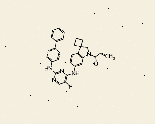 C=CC(=O)N1CC2(CCC2)c2ccc(Nc3nc(Nc4ccc(-c5ccccc5)cc4)ncc3F)cc21